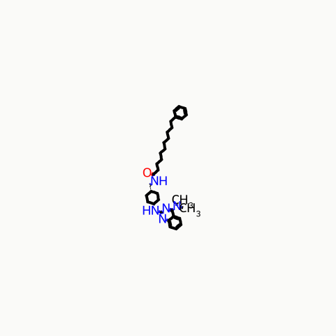 CN(C)c1nc(N[C@H]2CC[C@@H](CNC(=O)CCCCCCCCCCc3ccccc3)CC2)nc2ccccc12